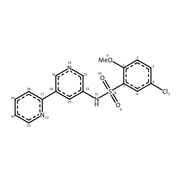 COc1ccc(Cl)cc1S(=O)(=O)Nc1cncc(-c2ccccn2)c1